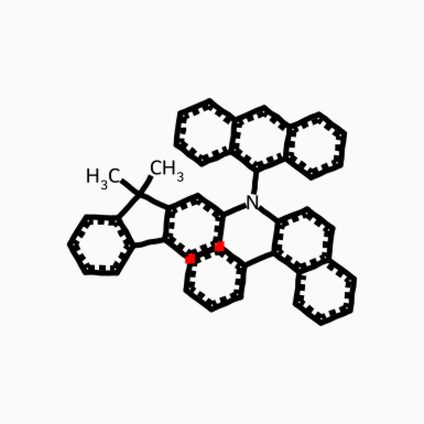 CC1(C)c2ccccc2-c2ccc(N(c3ccc4ccccc4c3-c3ccccc3)c3c4ccccc4cc4ccccc34)cc21